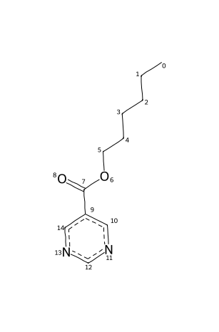 CCCCCCOC(=O)c1cncnc1